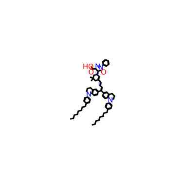 CCCCCCCCc1ccc(N2CCCc3cc(C(=C/C=C/C4=CC(=C5\C(=O)N(c6ccccc6)N=C5C(=O)O)/CC(C)(C)C4)c4ccc5c(c4)CCCN5c4ccc(CCCCCCCC)cc4)ccc32)cc1